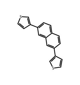 c1cc(-c2ccc3ccc(-c4ccsc4)cc3c2)cs1